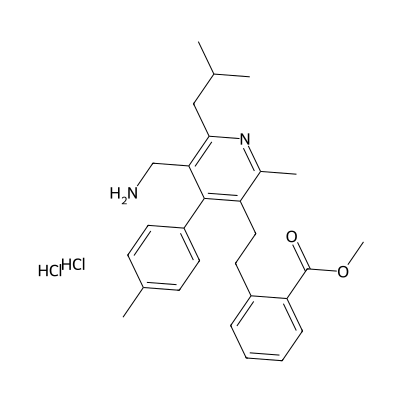 COC(=O)c1ccccc1CCc1c(C)nc(CC(C)C)c(CN)c1-c1ccc(C)cc1.Cl.Cl